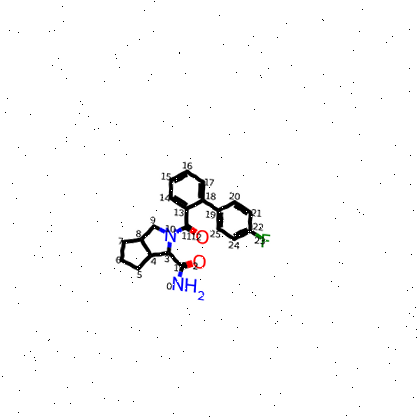 NC(=O)C1C2CCCC2CN1C(=O)c1ccccc1-c1ccc(F)cc1